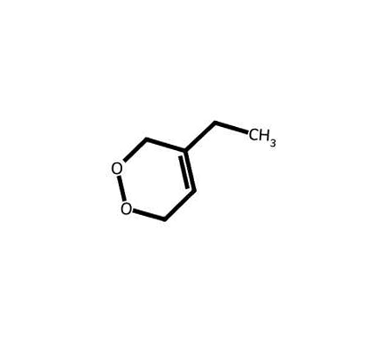 CCC1=CCOOC1